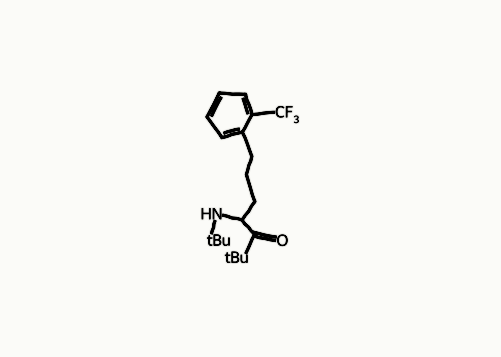 CC(C)(C)NC(CCCc1ccccc1C(F)(F)F)C(=O)C(C)(C)C